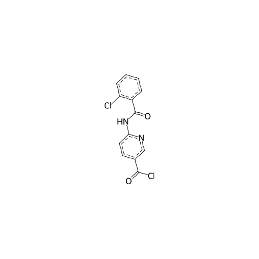 O=C(Cl)c1ccc(NC(=O)c2ccccc2Cl)nc1